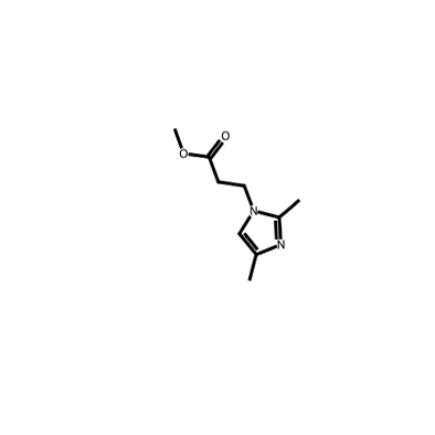 COC(=O)CCn1cc(C)nc1C